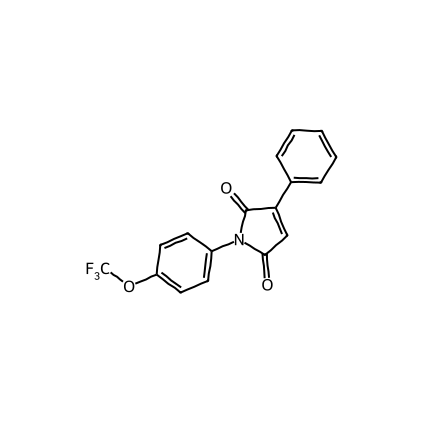 O=C1C=C(c2ccccc2)C(=O)N1c1ccc(OC(F)(F)F)cc1